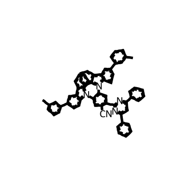 Cc1cccc(-c2ccc3c(c2)c2ccccc2n3-c2cc(C#N)c(-c3nc(-c4ccccc4)cc(-c4ccccc4)n3)cc2-n2c3ccccc3c3cc(-c4cccc(C)c4)ccc32)c1